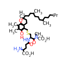 Cc1c(C)c2c(c(CSCC(NC(=O)CCC(N)C(=O)O)C(=O)N(C)C(=O)O)c1O)CCC(C)(CCCC(C)CCCC(C)CCCC(C)C)O2